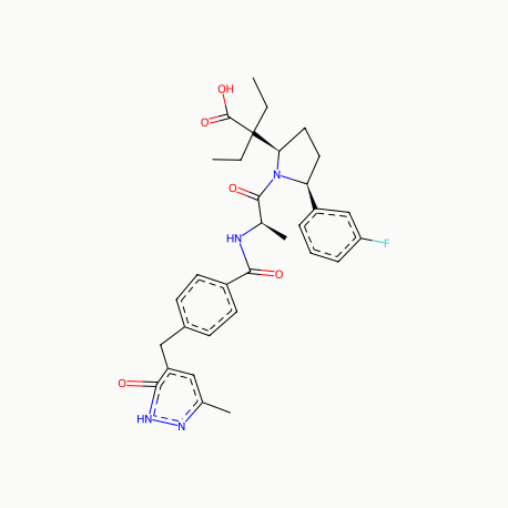 CCC(CC)(C(=O)O)[C@H]1CC[C@@H](c2cccc(F)c2)N1C(=O)[C@@H](C)NC(=O)c1ccc(Cc2cc(C)n[nH]c2=O)cc1